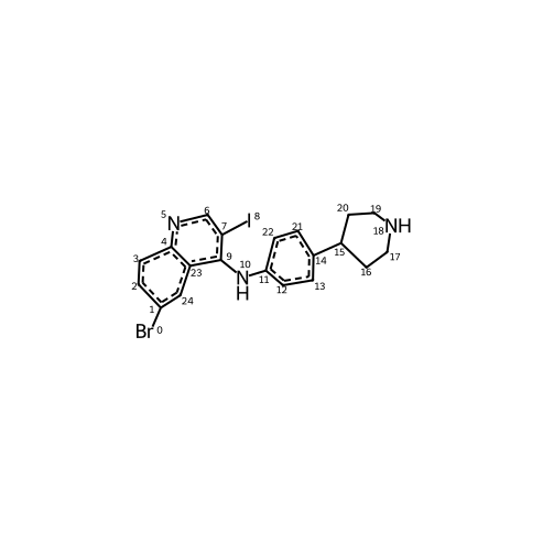 Brc1ccc2ncc(I)c(Nc3ccc(C4CCNCC4)cc3)c2c1